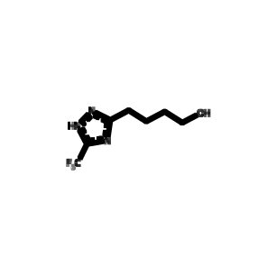 OCCCCc1n[nH]c(C(F)(F)F)n1